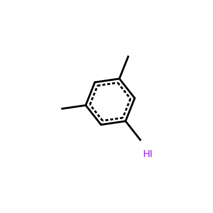 Cc1cc(C)cc(C)c1.I